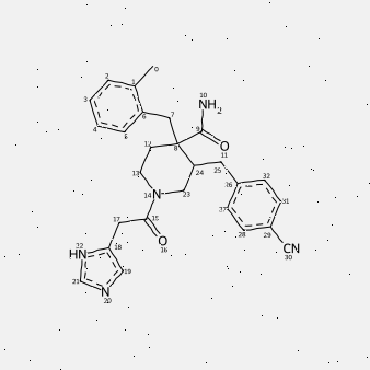 Cc1ccccc1CC1(C(N)=O)CCN(C(=O)Cc2cnc[nH]2)CC1Cc1ccc(C#N)cc1